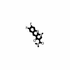 CN(C)C(=O)c1cn(C)c2nc3cc(F)c(F)cc3cc2c1=O